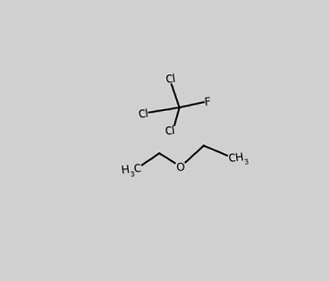 CCOCC.FC(Cl)(Cl)Cl